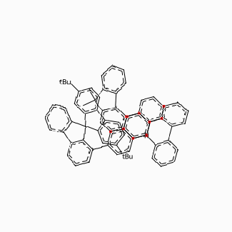 CC(C)(C)c1ccc2c(c1)C1(c3cc(C(C)(C)C)ccc3-2)c2ccccc2-c2cccc(-c3ccc(N(c4ccccc4-c4ccccc4-c4ccccc4)c4ccccc4-c4cccc5c4-c4ccccc4C5(C)C)cc3)c21